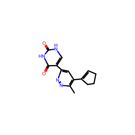 Cc1nnc(-c2c[nH]c(=O)[nH]c2=O)cc1C1=CCCC1